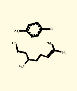 CC(C)=CCCC(C)CCO.Cc1ccc(C(C)C)cc1